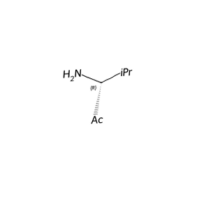 CC(=O)[C@H](N)C(C)C